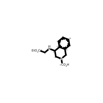 CCOC(=O)CNC1CN(C(=O)O)Cc2ccccc21